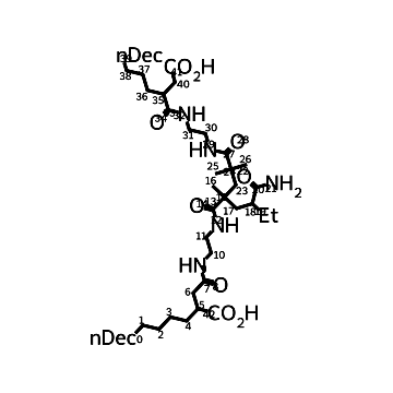 CCCCCCCCCCCCCCC(CC(=O)NCCNC(=O)C(C)(CC(CC)C(N)=O)CC(C)(C)C(=O)NCCNC(=O)C(CCCCCCCCCCCCC)CC(=O)O)C(=O)O